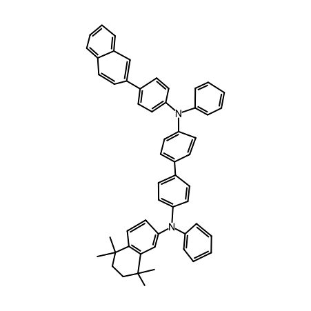 CC1(C)CCC(C)(C)c2cc(N(c3ccccc3)c3ccc(-c4ccc(N(c5ccccc5)c5ccc(-c6ccc7ccccc7c6)cc5)cc4)cc3)ccc21